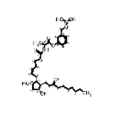 CCCCCCCC(=O)CC[C@@H]1[C@@H](C/C=C\CCCC(=O)NC(C)C(=O)Oc2cccc(CON(O)O)c2)[C@@H](O)C[C@H]1O